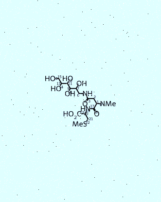 CNC(CC(=O)NCC(O)C(O)C(O)C(O)CO)C(=O)N[C@@H](CSC)C(=O)O